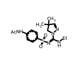 CCN/C(=N/S(=O)(=O)c1ccc(NC(C)=O)cc1)N1CC(C)(C)C=N1